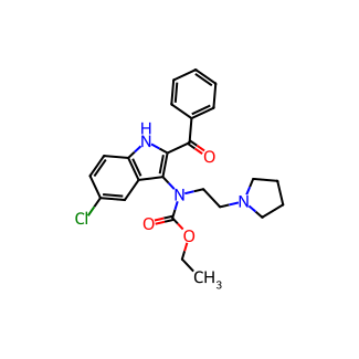 CCOC(=O)N(CCN1CCCC1)c1c(C(=O)c2ccccc2)[nH]c2ccc(Cl)cc12